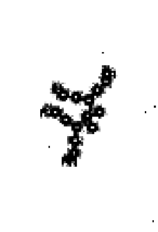 c1ccc2c(c1)c1c3c4ccccc4n(-c4cc(-c5ccc(-c6ccc7ncncc7c6)cc5)cc(-c5ccc(-c6ccc7ncncc7c6)cc5)c4)c3ccc1n2-c1cc(-c2ccc(-c3ccc4ncncc4c3)cc2)cc(-c2ccc(-c3ccc4ncncc4c3)cc2)c1